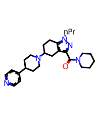 CCCn1nc(C(=O)N2CCCCC2)c2c1CCC(N1CCC(c3ccncc3)CC1)C2